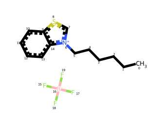 CCCCCC[n+]1csc2ccccc21.F[B-](F)(F)F